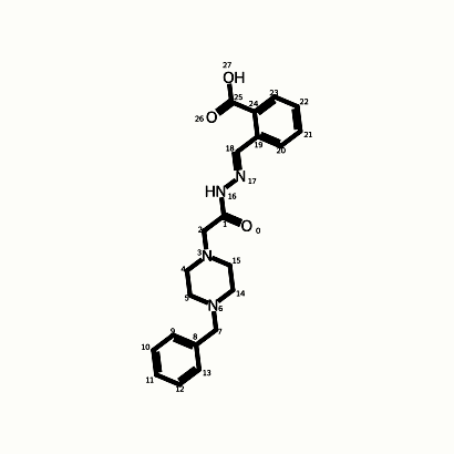 O=C(CN1CCN(Cc2ccccc2)CC1)N/N=C/c1ccccc1C(=O)O